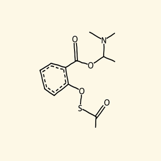 CC(=O)SOc1ccccc1C(=O)OC(C)N(C)C